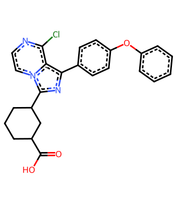 O=C(O)C1CCCC(c2nc(-c3ccc(Oc4ccccc4)cc3)c3c(Cl)nccn23)C1